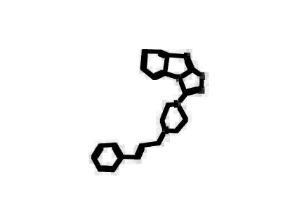 C(=Cc1ccccc1)CN1CCN(c2nsc3nc4ccccc4n23)CC1